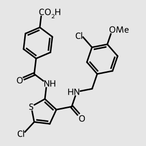 COc1ccc(CNC(=O)c2cc(Cl)sc2NC(=O)c2ccc(C(=O)O)cc2)cc1Cl